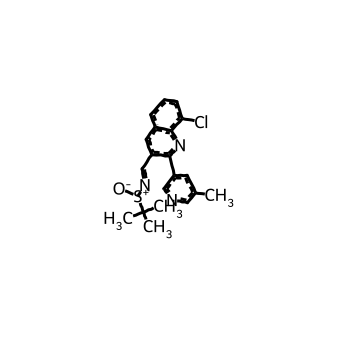 Cc1cncc(-c2nc3c(Cl)cccc3cc2/C=N/[S+]([O-])C(C)(C)C)c1